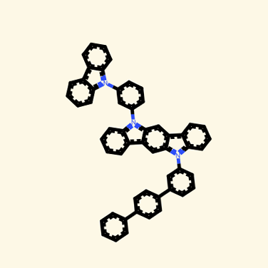 c1ccc(-c2ccc(-c3cccc(-n4c5ccccc5c5cc6c(cc54)c4ccccc4n6-c4cccc(-n5c6ccccc6c6ccccc65)c4)c3)cc2)cc1